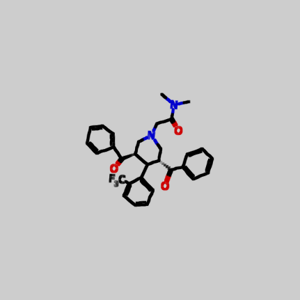 CN(C)C(=O)CN1C[C@H](C(=O)c2ccccc2)C(c2ccccc2C(F)(F)F)[C@@H](C(=O)c2ccccc2)C1